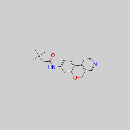 CC(C)(C)CC(=O)Nc1ccc2c(c1)OCc1cnccc1-2